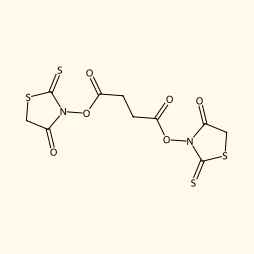 O=C(CCC(=O)ON1C(=O)CSC1=S)ON1C(=O)CSC1=S